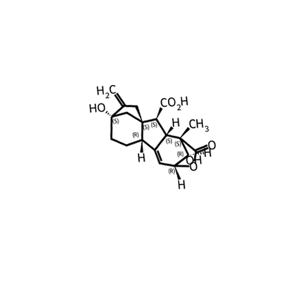 C=C1C[C@]23C[C@@]1(O)CC[C@H]2C1=C[C@H]2OC(=O)[C@@](C)([C@H]1[C@@H]3C(=O)O)[C@H]2O